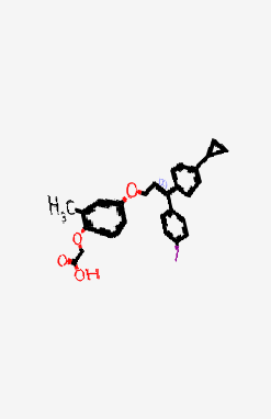 Cc1cc(OC/C=C(\c2ccc(I)cc2)c2ccc(C3CC3)cc2)ccc1OCC(=O)O